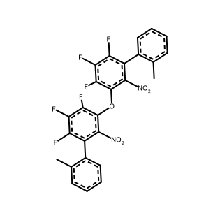 Cc1ccccc1-c1c(F)c(F)c(F)c(Oc2c(F)c(F)c(F)c(-c3ccccc3C)c2[N+](=O)[O-])c1[N+](=O)[O-]